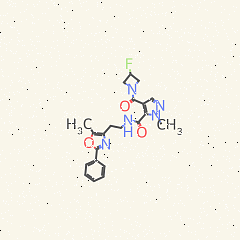 Cc1oc(-c2ccccc2)nc1CCNC(=O)c1c(C(=O)N2CC(F)C2)cnn1C